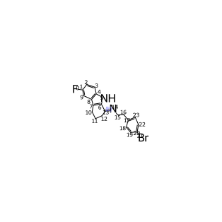 Fc1ccc2[nH]c3c(c2c1)CCC/C3=N\CCc1ccc(Br)cc1